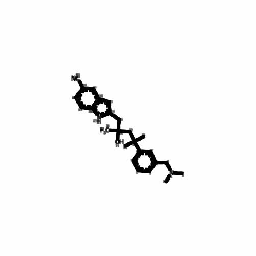 CN(C)Cc1cccc(C(C)(C)CC(O)(Cc2cc3cc(C#N)ccc3[nH]2)C(F)(F)F)c1